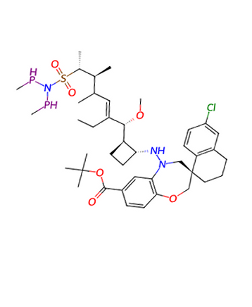 CC/C(=C\C(C)[C@H](C)[C@@H](C)S(=O)(=O)N(PC)PC)[C@H](OC)[C@@H]1CC[C@H]1NN1C[C@@]2(CCCc3cc(Cl)ccc32)COc2ccc(C(=O)OC(C)(C)C)cc21